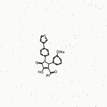 COc1cccc(C2C(C(=O)C(C)C)=C(O)C(=O)N2c2ccc(-c3ccsc3)cc2)c1